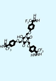 O=C1N(COc2ccc(C3(C(F)(F)F)NN3)cc2)C(=O)N(COc2ccc(C3(C(F)(F)F)NN3)cc2)C(O)N1COc1ccc(C2(C(F)(F)F)NN2)cc1